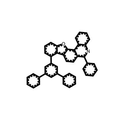 c1ccc(-c2cc(-c3ccccc3)cc(-c3cccc4oc5c(ccc6c(-c7ccccc7)nc7ccccc7c65)c34)c2)cc1